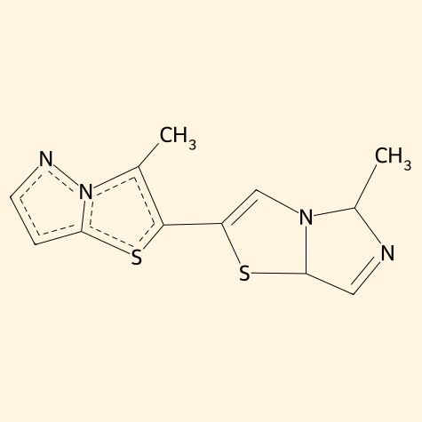 Cc1c(C2=CN3C(C)N=CC3S2)sc2ccnn12